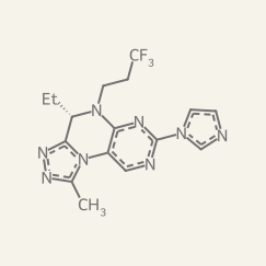 CC[C@H]1c2nnc(C)n2-c2cnc(-n3ccnc3)nc2N1CCC(F)(F)F